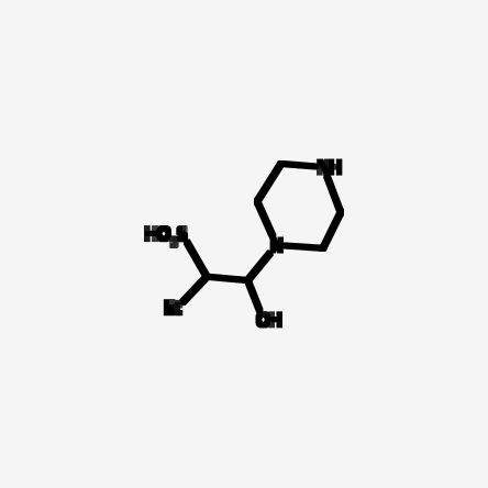 CCC(C(O)N1CCNCC1)S(=O)(=O)O